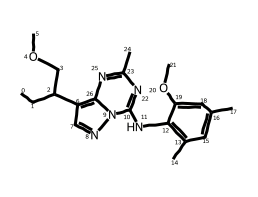 CCC(COC)c1cnn2c(Nc3c(C)cc(C)cc3OC)nc(C)nc12